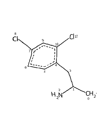 [CH2]C(N)Cc1ccc(Cl)cc1Cl